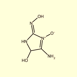 NC1=[N+]([O-])/C(=N\O)NC1O